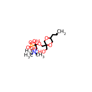 C=CCC1COC(CO)(COC(O)(C[N+](C)(C)C)P(=O)(O)O)CO1